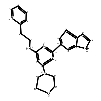 c1ccc(CCNc2cc(N3CCOCC3)nc(-c3ccc4cc[nH]c4c3)n2)nc1